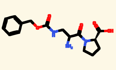 NC(CNC(=O)OCc1ccccc1)C(=O)N1CCC[C@H]1C(=O)O